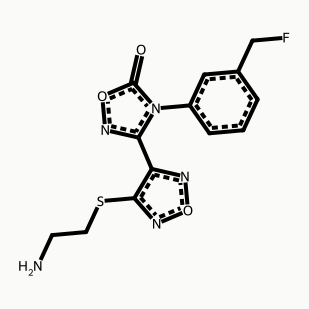 NCCSc1nonc1-c1noc(=O)n1-c1cccc(CF)c1